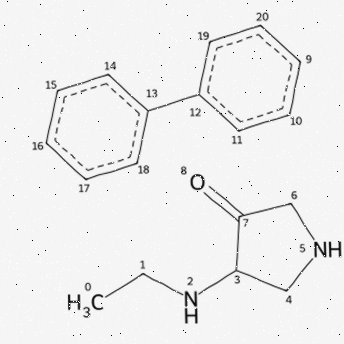 CCNC1CNCC1=O.c1ccc(-c2ccccc2)cc1